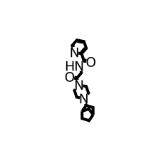 O=C(NCC(=O)N1CCN(C2CC3CCC2C3)CC1)c1ccccn1